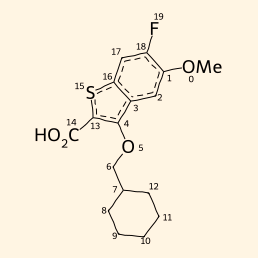 COc1cc2c(OCC3CCCCC3)c(C(=O)O)sc2cc1F